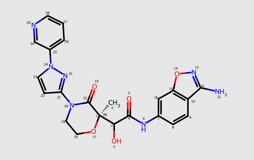 C[C@]1(C(O)C(=O)Nc2ccc3c(N)noc3c2)OCCN(c2ccn(-c3cccnc3)n2)C1=O